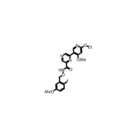 CCOc1cc(OC)c(-c2cncc(C(=O)NOCc3cc(OC)ccc3F)n2)cn1